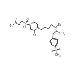 CCN(CC)CCS(=O)(=O)N1CCN(CCCCN(CC)C(C)Cc2ccc(S(C)(=O)=O)cc2)C(=O)C1